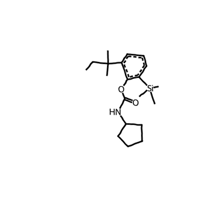 CCC(C)(C)c1cccc([Si](C)(C)C)c1OC(=O)NC1CCCC1